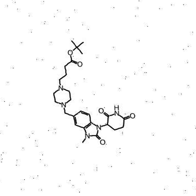 Cn1c(=O)n(C2CCC(=O)NC2=O)c2ccc(CN3CCN(CCCC(=O)OC(C)(C)C)CC3)cc21